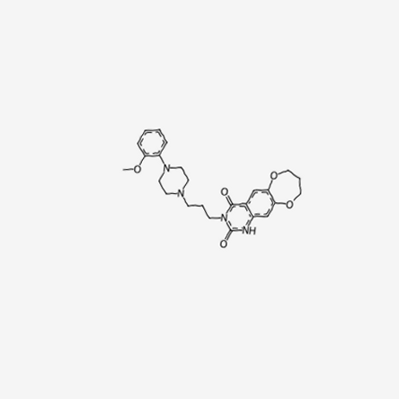 COc1ccccc1N1CCN(CCCn2c(=O)[nH]c3cc4c(cc3c2=O)OCCCO4)CC1